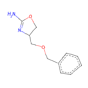 NC1=NC(COCc2ccccc2)CO1